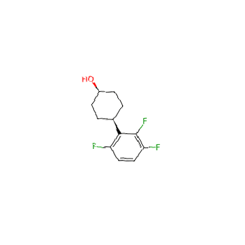 O[C@H]1CC[C@@H](c2c(F)ccc(F)c2F)CC1